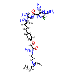 CN(C)CCCCNC(=O)COc1ccc(CCCCNC(=N)NC(=O)c2nc(Cl)c(N)nc2N)cc1